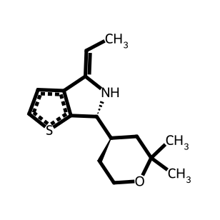 C/C=C1\N[C@H]([C@@H]2CCOC(C)(C)C2)c2sccc21